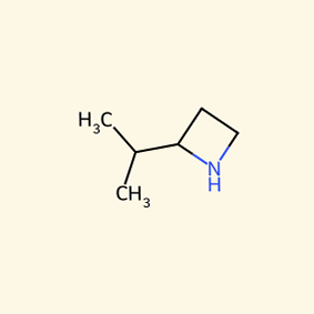 CC(C)C1CCN1